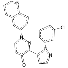 O=c1ccn(-c2ccc3ncccc3c2)nc1-c1ccnn1-c1cccc(Cl)c1